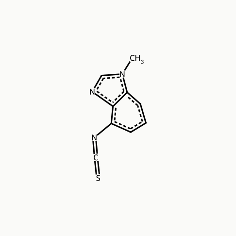 Cn1cnc2c(N=C=S)cccc21